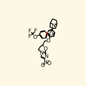 O=[N+]([O-])c1cn2c(n1)OC(COc1ccc(N3C4CCC3CC(Oc3ccc(OC(F)(F)F)cc3)C4)cc1)CC2